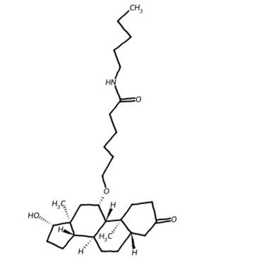 CCCCCNC(=O)CCCCCO[C@H]1C[C@]2(C)[C@@H](O)CC[C@H]2[C@@H]2CC[C@H]3CC(=O)CC[C@]3(C)[C@H]21